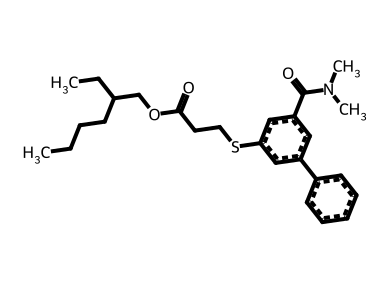 CCCCC(CC)COC(=O)CCSc1cc(C(=O)N(C)C)cc(-c2ccccc2)c1